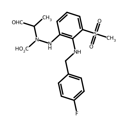 CC(C=O)N(Nc1cccc(S(C)(=O)=O)c1NCc1ccc(F)cc1)C(=O)O